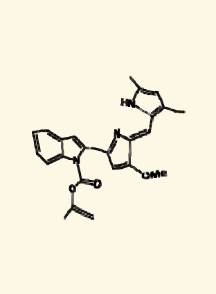 C=C(C)OC(=O)n1c(C2=N/C(=C\c3[nH]c(C)cc3C)C(OC)=C2)cc2ccccc21